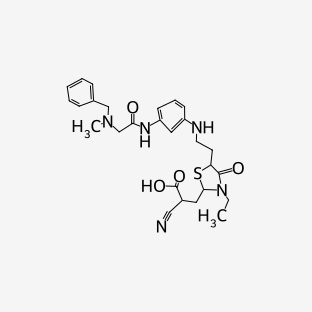 CCN1C(=O)C(CCNc2cccc(NC(=O)CN(C)Cc3ccccc3)c2)SC1CC(C#N)C(=O)O